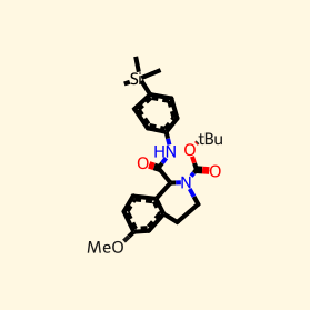 COc1ccc2c(c1)CCN(C(=O)OC(C)(C)C)C2C(=O)Nc1ccc([Si](C)(C)C)cc1